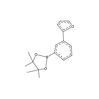 CC1(C)OB(c2cccc(-c3ccco3)c2)OC1(C)C